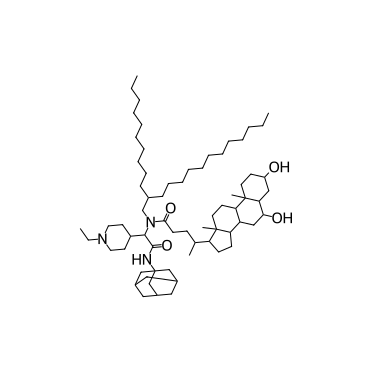 CCCCCCCCCCCCC(CCCCCCCCCC)CN(C(=O)CCC(C)C1CCC2C3CC(O)C4CC(O)CCC4(C)C3CCC12C)C(C(=O)NC12CC3CC(CC(C3)C1)C2)C1CCN(CC)CC1